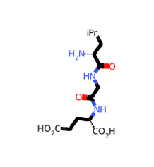 CC(C)C[C@@H](N)C(=O)NCC(=O)N[C@@H](CCC(=O)O)C(=O)O